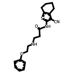 N#Cc1c(NC(=O)CCNCCOc2ccccc2)sc2c1CCCC2